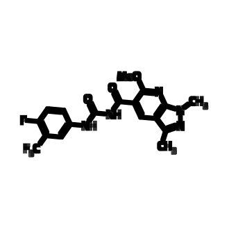 COc1nc2c(cc1C(=O)NC(=O)Nc1ccc(F)c(C(F)(F)F)c1)c(C)nn2C